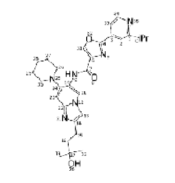 CC(C)c1cc(-c2nc(C(=O)Nc3cn4cc(CCC(C)(C)O)nc4cc3N3CCCCC3)co2)ccn1